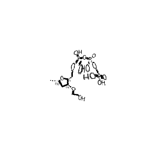 C[C@H]1C[C@H](OCO)[C@@H](COP(=O)(O)OP(=O)(O)OP(=O)(O)O)O1